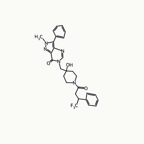 Cn1nc2c(=O)n(CC3(O)CCN(C(=O)CC(c4ccccc4)C(F)(F)F)CC3)cnc2c1-c1ccccc1